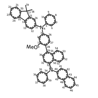 COc1cc(N(c2ccccc2)c2ccc3c(c2)C(C)(C)c2ccccc2-3)ccc1-c1ccc(N(c2ccccc2)c2ccc3ccccc3c2)c2ccccc12